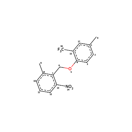 Cc1ccc(OCc2c(C)cccc2[N+](=O)[O-])c(C(F)(F)F)c1